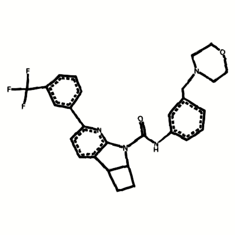 O=C(Nc1cccc(CN2CCOCC2)c1)N1c2nc(-c3cccc(C(F)(F)F)c3)ccc2C2CCC21